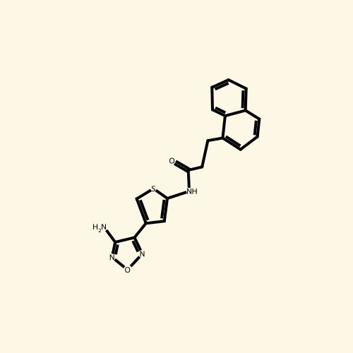 Nc1nonc1-c1csc(NC(=O)CCc2cccc3ccccc23)c1